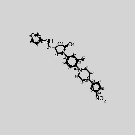 O=C1O[C@@H](CNc2ccon2)CN1c1ccc(N2CCN(c3ccc([N+](=O)[O-])s3)CC2)c(F)c1